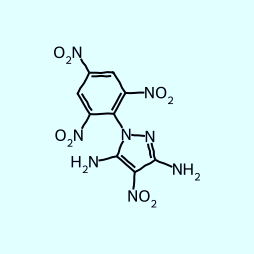 Nc1nn(-c2c([N+](=O)[O-])cc([N+](=O)[O-])cc2[N+](=O)[O-])c(N)c1[N+](=O)[O-]